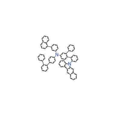 c1ccc(-c2ccccc2-c2ccc(N(c3cccc(-c4cccc5ccccc45)c3)c3ccc(-c4ccccc4-n4c5ccccc5c5cc6ccccc6cc54)c(-c4ccccc4)c3)cc2)cc1